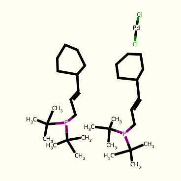 CC(C)(C)P(CC=CC1CCCCC1)C(C)(C)C.CC(C)(C)P(CC=CC1CCCCC1)C(C)(C)C.[Cl][Pd][Cl]